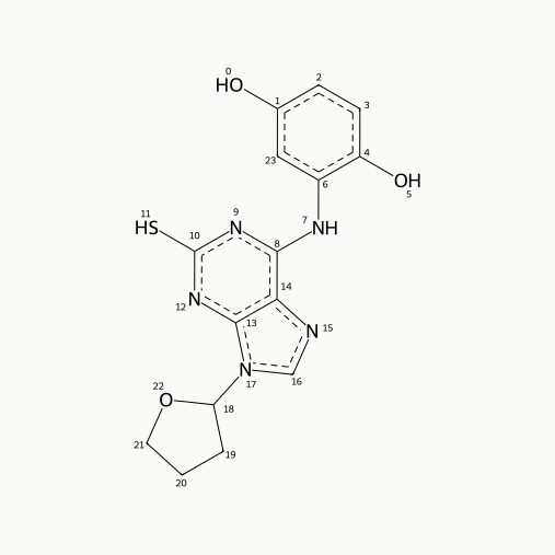 Oc1ccc(O)c(Nc2nc(S)nc3c2ncn3C2CCCO2)c1